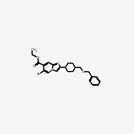 CCOC(=O)c1cc2nc(C3CCC(COCc4ccccc4)CC3)cn2cc1Br